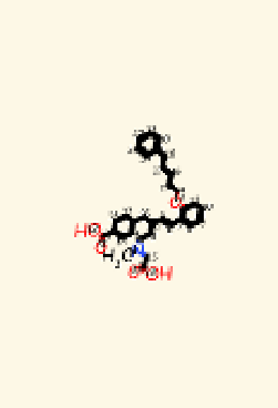 CN(CCC(C=Cc1ccccc1OCCCCCc1ccccc1)Cc1ccc(C(=O)O)cc1)CC(=O)O